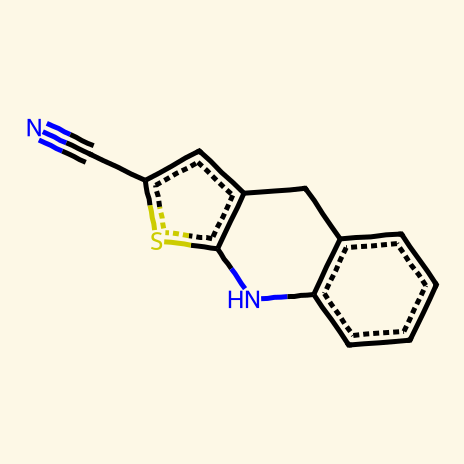 N#Cc1cc2c(s1)Nc1ccccc1C2